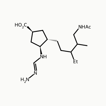 CCC(CC[C@H]1C[C@H](C(=O)O)C[C@@H]1NC=NN)C(C)CNC(C)=O